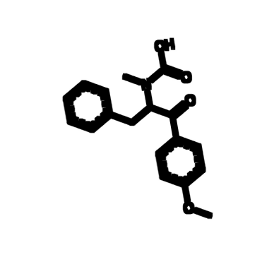 COc1ccc(C(=O)C(Cc2ccccc2)N(C)C(=O)O)cc1